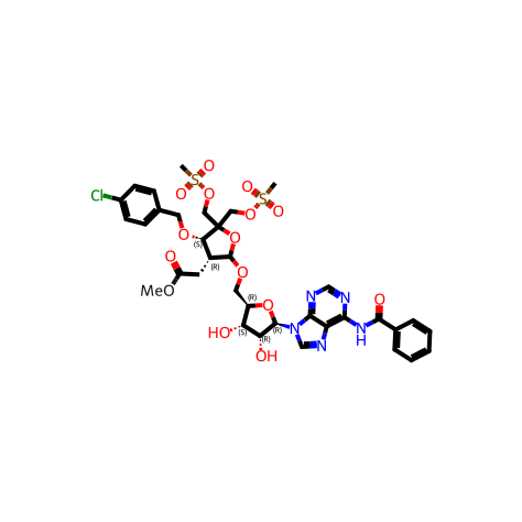 COC(=O)C[C@H]1C(OC[C@H]2O[C@@H](n3cnc4c(NC(=O)c5ccccc5)ncnc43)[C@H](O)[C@@H]2O)OC(COS(C)(=O)=O)(COS(C)(=O)=O)[C@H]1OCc1ccc(Cl)cc1